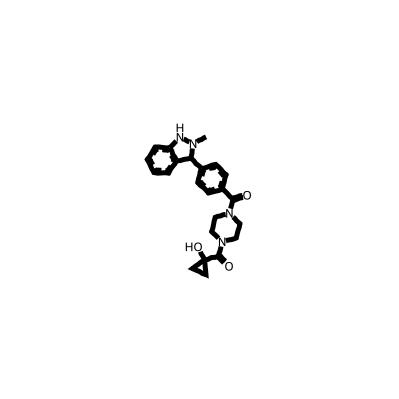 CN1Nc2ccccc2C1c1ccc(C(=O)N2CCN(C(=O)C3(O)CC3)CC2)cc1